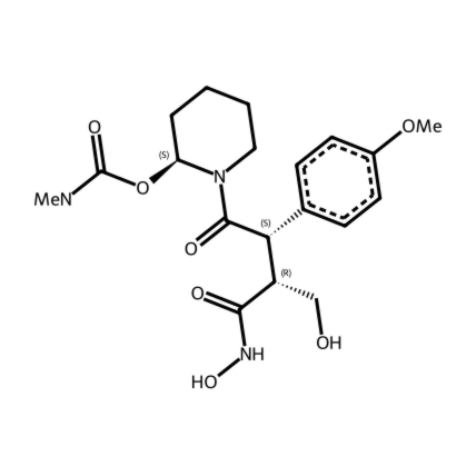 CNC(=O)O[C@H]1CCCCN1C(=O)[C@H](c1ccc(OC)cc1)[C@H](CO)C(=O)NO